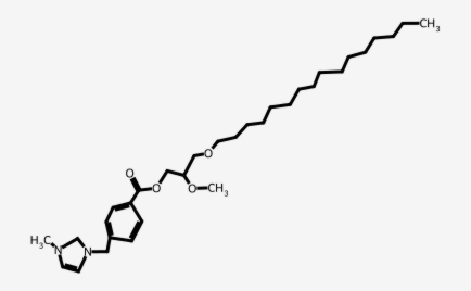 CCCCCCCCCCCCCCCCOCC(COC(=O)c1ccc(CN2C=CN(C)C2)cc1)OC